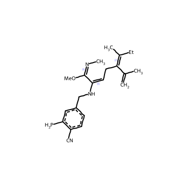 C=C(C)/C(C/C=C(NCc1ccc(C#N)c(P)c1)\C(=N/C)OC)=C(/C)CC